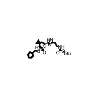 CC(C)(C)OC(=O)NCCc1nnc([C@@H]2CC3(CC3)[C@H]3CN2C(=O)N3OCc2ccccc2)o1